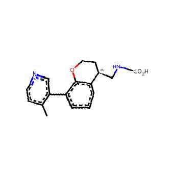 Cc1ccncc1-c1cccc2c1OCC[C@H]2CNC(=O)O